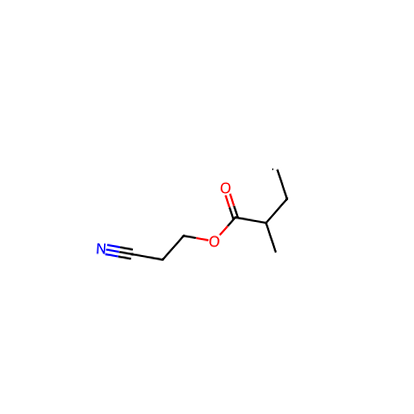 [CH2]CC(C)C(=O)OCCC#N